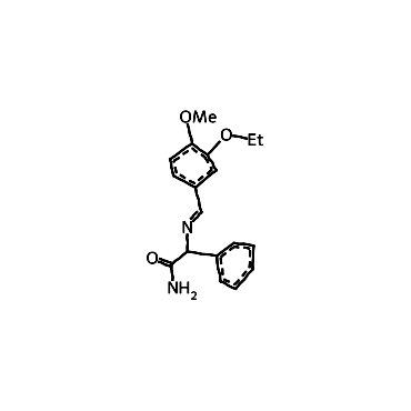 CCOc1cc(C=NC(C(N)=O)c2ccccc2)ccc1OC